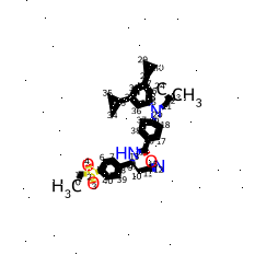 CCS(=O)(=O)c1ccc([C@H](CC#N)NC(=O)c2ccc(N(CC(C)C)c3cc(C4CC4)cc(C4CC4)c3)cc2)cc1